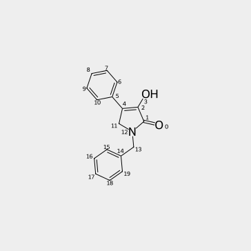 O=C1C(O)=C(c2ccccc2)CN1Cc1ccccc1